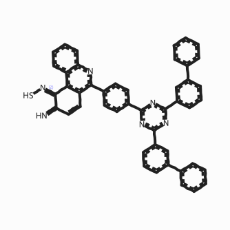 N=C1C=Cc2c(-c3ccc(-c4nc(-c5cccc(-c6ccccc6)c5)nc(-c5cccc(-c6ccccc6)c5)n4)cc3)nc3ccccc3c2/C1=N/S